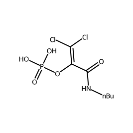 CCCCNC(=O)C(OP(=O)(O)O)=C(Cl)Cl